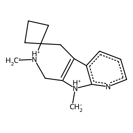 [CH2-][NH+]1C2=C(CC3(CCC3)[NH+]([CH2-])C2)c2cccnc21